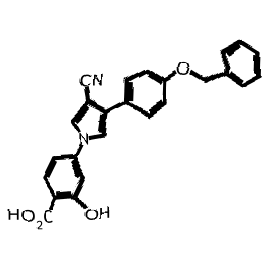 N#Cc1cn(-c2ccc(C(=O)O)c(O)c2)cc1-c1ccc(OCc2ccccc2)cc1